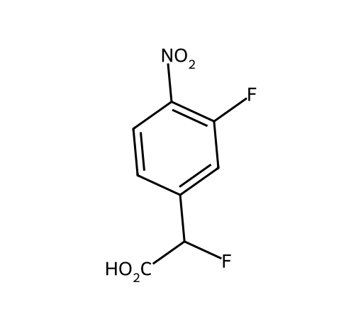 O=C(O)C(F)c1ccc([N+](=O)[O-])c(F)c1